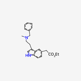 CCOC(=O)Cc1ccc2[nH]cc(CCN(C)Cc3ccccc3)c2c1